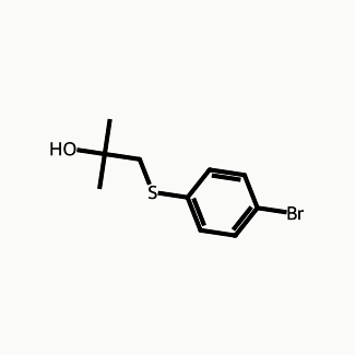 CC(C)(O)CSc1ccc(Br)cc1